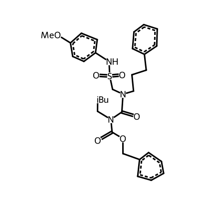 CCC(C)CN(C(=O)OCc1ccccc1)C(=O)N(CCCc1ccccc1)CS(=O)(=O)Nc1ccc(OC)cc1